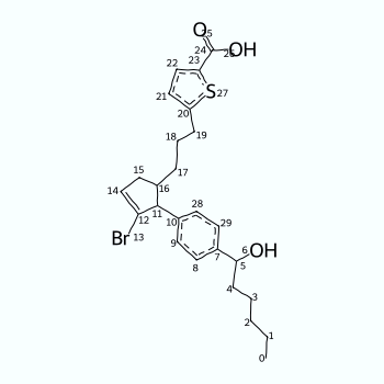 CCCCCC(O)c1ccc(C2C(Br)=CCC2CCCc2ccc(C(=O)O)s2)cc1